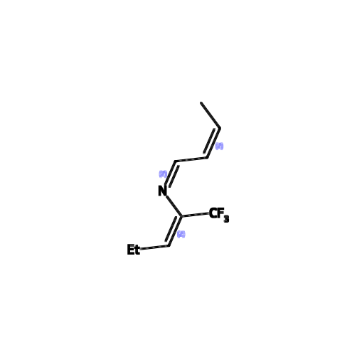 C\C=C/C=N\C(=C/CC)C(F)(F)F